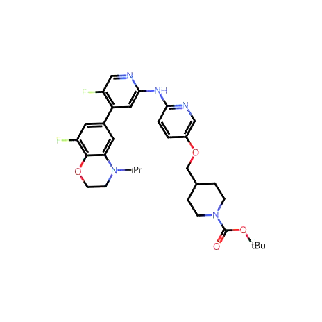 CC(C)N1CCOc2c(F)cc(-c3cc(Nc4ccc(OCC5CCN(C(=O)OC(C)(C)C)CC5)cn4)ncc3F)cc21